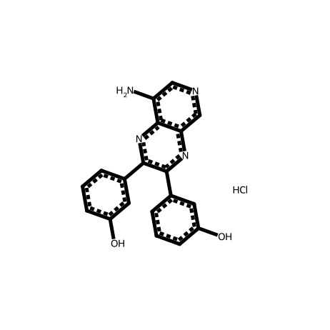 Cl.Nc1cncc2nc(-c3cccc(O)c3)c(-c3cccc(O)c3)nc12